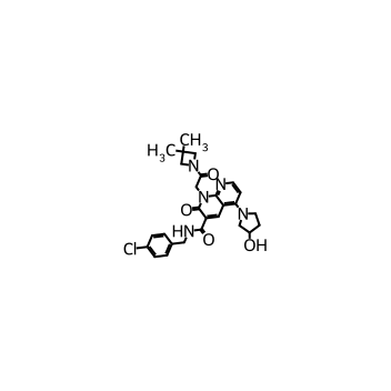 CC1(C)CN(C(=O)Cn2c(=O)c(C(=O)NCc3ccc(Cl)cc3)cc3c(N4CCC(O)C4)ccnc32)C1